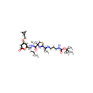 CCC[C@@H](NC(=O)C1(C)CSC(/C(C)=N/CCCNC(=O)OC(C)(C)C)=N1)c1cc(OCC2CC2)cc(=O)o1